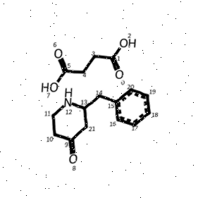 O=C(O)CCC(=O)O.O=C1CCNC(Cc2ccccc2)C1